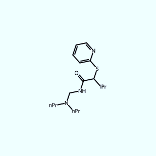 CCCN(CCC)CNC(=O)C(Sc1ccccn1)C(C)C